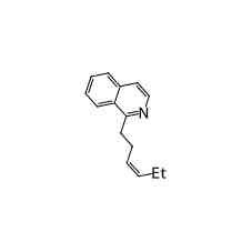 CC/C=C\CCc1nccc2ccccc12